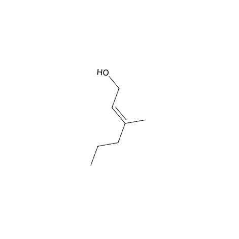 CCCC(C)=CCO